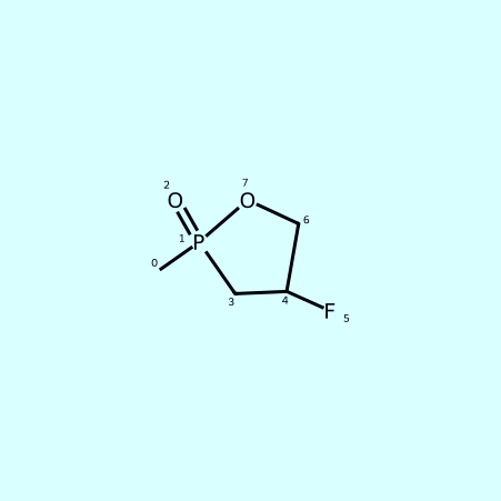 CP1(=O)CC(F)CO1